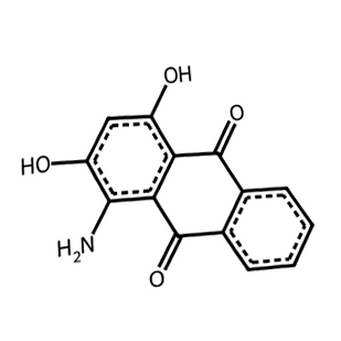 Nc1c(O)cc(O)c2c1C(=O)c1ccccc1C2=O